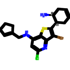 N[C@@H]1CC=CC[C@H]1c1sc2c(NCC3=CCCC3)cc(Cl)nc2c1Br